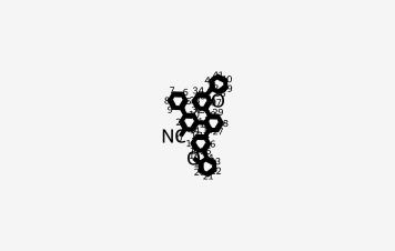 N#Cc1cc(-c2ccccc2)cc(-c2c(-c3ccc4oc5ccccc5c4c3)cccc2-c2cccc3c2oc2ccccc23)c1